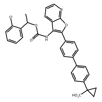 CC(OC(=O)Nc1c(-c2ccc(-c3ccc(C4(C(=O)O)CC4)cc3)cc2)oc2ncccc12)c1ccccc1Cl